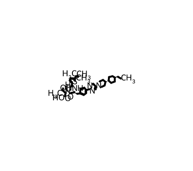 CCC[C@H]1CC[C@H](C2CCN(c3cnc(-c4ccc(C[C@H](NC(=O)c5ccc(C(C)(C)C)s5)C(=O)N[C@H](C(=O)O)[C@@H](C)O)cc4)nc3)CC2)CC1